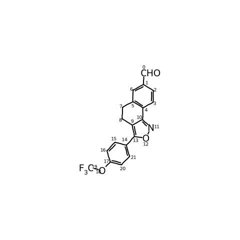 O=Cc1ccc2c(c1)CCc1c-2noc1-c1ccc(OC(F)(F)F)cc1